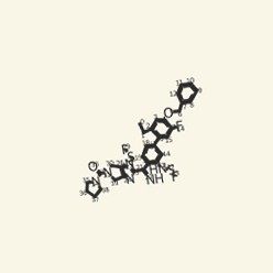 CCc1cc(OCc2ccccc2)c(F)cc1-c1ccc(C(=N)c2nc3c(n2SF)CN(C(=O)N2CCCC2)C3)c(NSF)c1